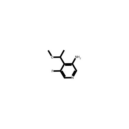 COC(C)c1c(N)cncc1F